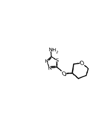 Nc1nnc(OC2CCCOC2)s1